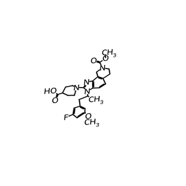 COC(=O)N1CCc2ccc3c(nc(N4CCC(C(=O)O)CC4)n3[C@@H](C)Cc3cc(F)cc(OC)c3)c2C1